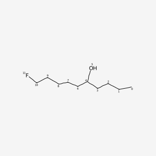 CCCCC(O)CCCCCF